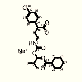 CC(C)C(OC(=O)NCCC(C(=O)[O-])c1ccc(Cl)cc1)OC(=O)C1CCCCC1.[Na+]